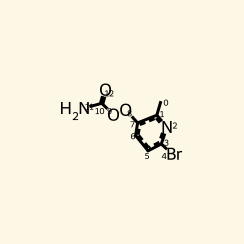 Cc1nc(Br)ccc1OOC(N)=O